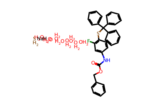 O.O.O.O.O.O.O.O.O.O=C(Nc1ccc(SC(c2ccccc2)(c2ccccc2)c2ccccc2)c(F)c1)OCc1ccccc1.S.[NaH]